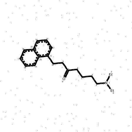 CCN(CC)CCCCC(=O)CCc1cccc2ccccc12